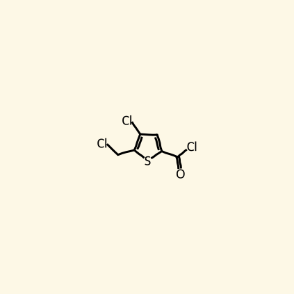 O=C(Cl)c1cc(Cl)c(CCl)s1